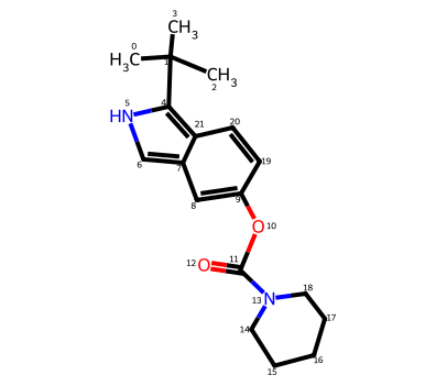 CC(C)(C)c1[nH]cc2cc(OC(=O)N3CCCCC3)ccc12